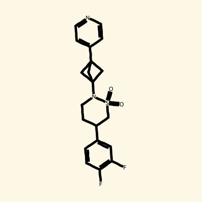 O=S1(=O)CC(c2ccc(F)c(F)c2)CCN1C12CC(c3ccncc3)(C1)C2